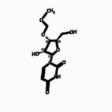 COCO[C@H]1[C@@H](O)[C@H](n2ccc(=O)[nH]c2=O)O[C@@H]1CO